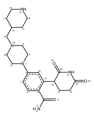 NC(=O)c1ccc(N2CCN(CC3CCNCC3)CC2)cc1C1CCC(=O)NC1=O